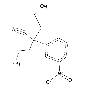 N#CC(CCO)(CCO)c1cccc([N+](=O)[O-])c1